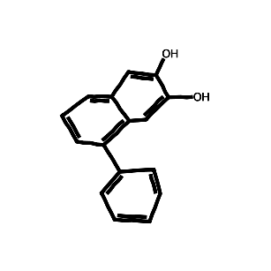 Oc1cc2cccc(-c3ccccc3)c2cc1O